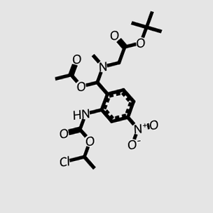 CC(=O)OC(c1ccc([N+](=O)[O-])cc1NC(=O)OC(C)Cl)N(C)CC(=O)OC(C)(C)C